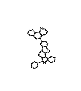 c1ccc(-c2nc3ccccc3c3c2ccc2c4cc(-c5cc6cccnc6c6ncccc56)ccc4oc23)cc1